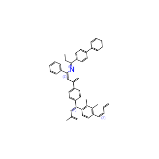 C=C/C=C\c1ccc(/C(=C\C(=C)C)c2ccc(C(=C)/C=C(\N=C(/CC)c3ccc(C4=CCCC=C4)cc3)c3ccccc3)cc2)c(C)c1C